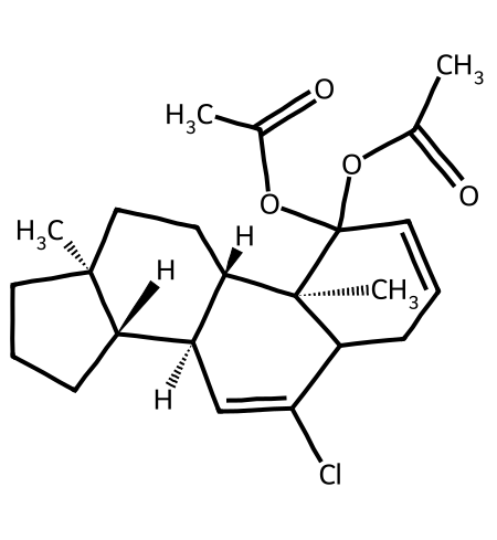 CC(=O)OC1(OC(C)=O)C=CCC2C(Cl)=C[C@H]3[C@@H]4CCC[C@@]4(C)CC[C@@H]3[C@]21C